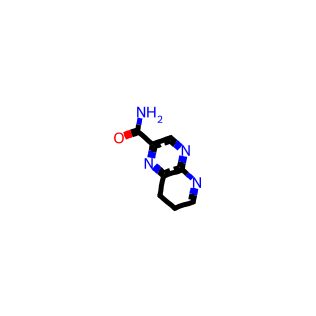 NC(=O)c1cnc2c(n1)CCC=N2